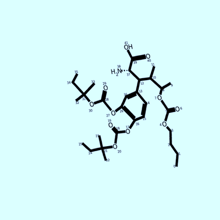 CCCCOC(=O)OC(C)C(C)C(c1ccc(OC(=O)OC(C)(C)CC)c(OC(=O)OC(C)(C)CC)c1)[C@H](N)C(=O)O